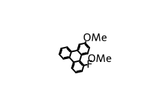 COc1cc(OC)c2c(c1)c1ccccc1c1cccc(F)c12